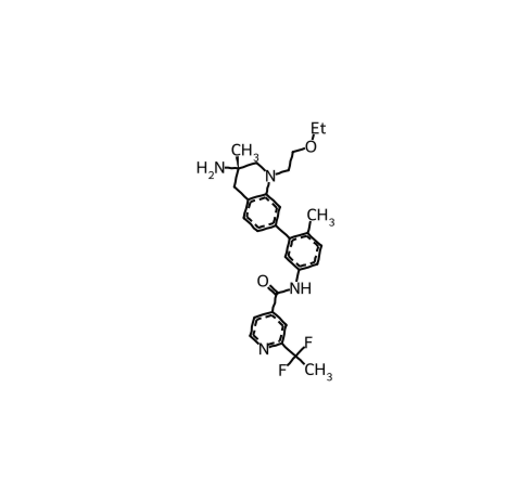 CCOCCN1C[C@@](C)(N)Cc2ccc(-c3cc(NC(=O)c4ccnc(C(C)(F)F)c4)ccc3C)cc21